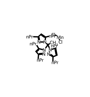 CCCc1cc(CCC)n(C(C)(n2nc(CCC)cc2CCC)n2nc(CCC)cc2CCC)n1.[Cl][Mn][Cl]